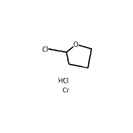 Cl.ClC1CCCO1.[Cr]